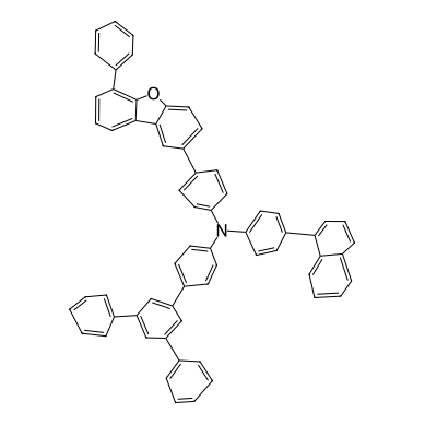 c1ccc(-c2cc(-c3ccccc3)cc(-c3ccc(N(c4ccc(-c5ccc6oc7c(-c8ccccc8)cccc7c6c5)cc4)c4ccc(-c5cccc6ccccc56)cc4)cc3)c2)cc1